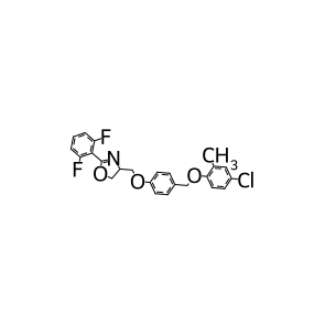 Cc1cc(Cl)ccc1OCc1ccc(OCC2COC(c3c(F)cccc3F)=N2)cc1